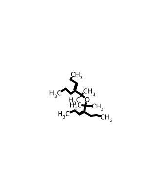 CCC=C(CCC)C(C)(C)OC(C)(C)C(=CCC)CCC